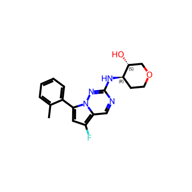 Cc1ccccc1-c1cc(F)c2cnc(N[C@@H]3CCOC[C@H]3O)nn12